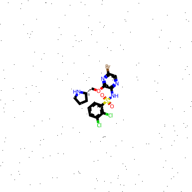 O=S(=O)(Nc1ncc(Br)nc1OC[C@@H]1CCCN1)c1cccc(Cl)c1Cl